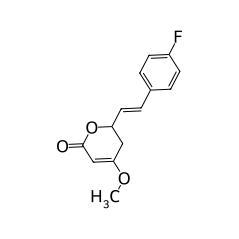 COC1=CC(=O)OC(C=Cc2ccc(F)cc2)C1